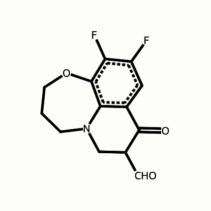 O=CC1CN2CCCOc3c(F)c(F)cc(c32)C1=O